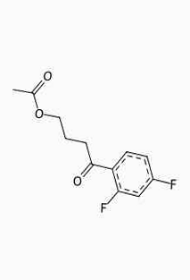 CC(=O)OCCCC(=O)c1ccc(F)cc1F